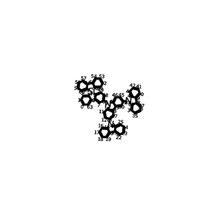 c1ccc([Si]2(c3ccc(-n4c5ccc(-n6c7ccccc7c7ccccc76)cc5c5cc(-n6c7ccccc7c7ccccc76)ccc54)cc3)c3ccccc3-c3ccccc32)cc1